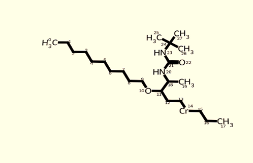 CCCCCCCCCCOC(C[CH2][Cr][CH2]CC)C(C)NC(=O)NC(C)(C)C